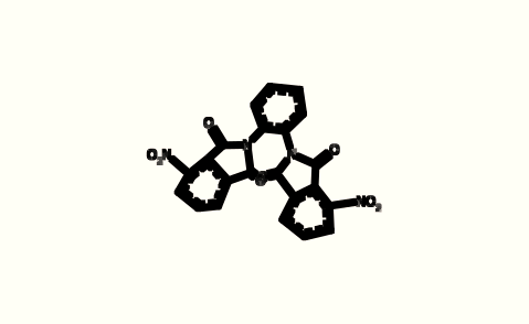 O=C1c2cccc([N+](=O)[O-])c2C(=O)N1c1ccccc1N1C(=O)c2cccc([N+](=O)[O-])c2C1=O